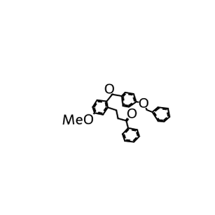 COc1ccc(C(=O)c2ccc(OCc3ccccc3)cc2)c(CCC(=O)c2ccccc2)c1